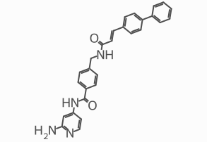 Nc1cc(NC(=O)c2ccc(CNC(=O)C=Cc3ccc(-c4ccccc4)cc3)cc2)ccn1